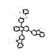 CN1c2ccccc2[Si](C)(C)c2ccc(-c3c4ccccc4c(-c4ccc5c(c4)C(C)(C)c4ccccc4-5)c4cc(-c5ccc6c(c5)C(C)(C)c5ccccc5-6)ccc34)cc21